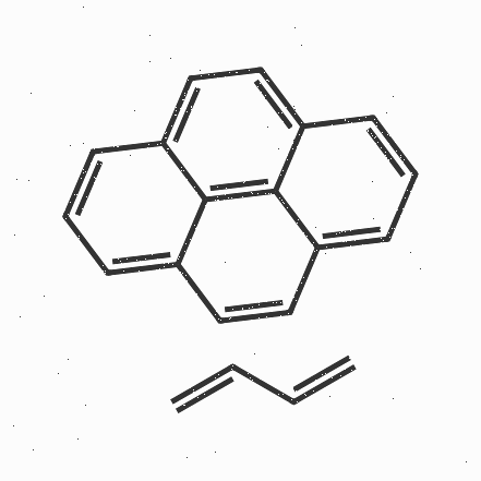 C=CC=C.c1cc2ccc3cccc4ccc(c1)c2c34